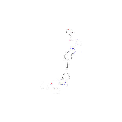 O=C(c1ccoc1)N1CCC[C@H]1c1nc2ccc(C#Cc3ccc4[nH]c([C@@H]5CCCN5C(=O)[C@H]5CCCO5)nc4c3)cc2[nH]1